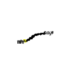 CCCSCC=CCC=CCC=CCCCCC(=O)O